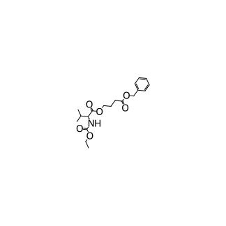 CCOC(=O)N[C@H](C(=O)OCCCC(=O)OCc1ccccc1)C(C)C